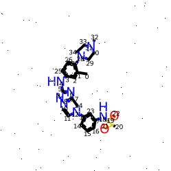 Cc1cc(Nc2nc3n(n2)C=CN(c2cccc(NS(C)(=O)=O)c2)C3)ccc1N1CCN(C)CC1